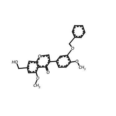 COc1ccc(-c2coc3cc(CO)cc(OC)c3c2=O)cc1OCc1ccccc1